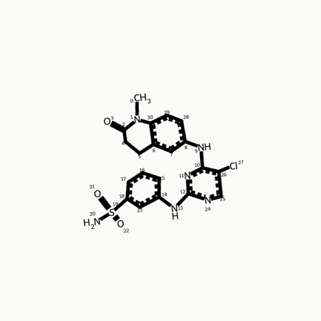 CN1C(=O)CCc2cc(Nc3nc(Nc4cccc(S(N)(=O)=O)c4)ncc3Cl)ccc21